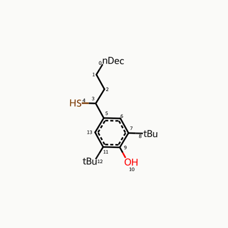 CCCCCCCCCCCCC(S)c1cc(C(C)(C)C)c(O)c(C(C)(C)C)c1